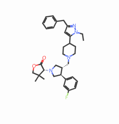 CCn1nc(Cc2ccccc2)cc1C1CCN(C[C@H]2CN([C@H]3C(=O)OCC3(C)C)C[C@@H]2c2cccc(F)c2)CC1